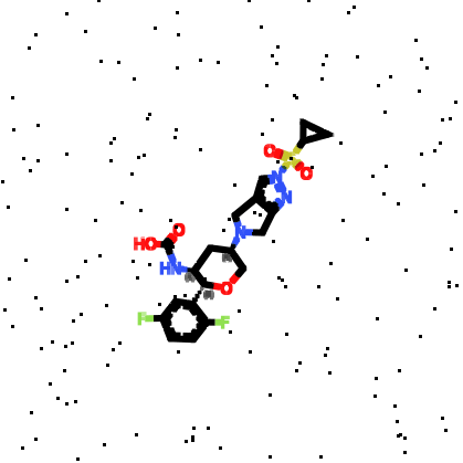 O=C(O)N[C@H]1C[C@@H](N2Cc3cn(S(=O)(=O)C4CC4)nc3C2)CO[C@@H]1c1cc(F)ccc1F